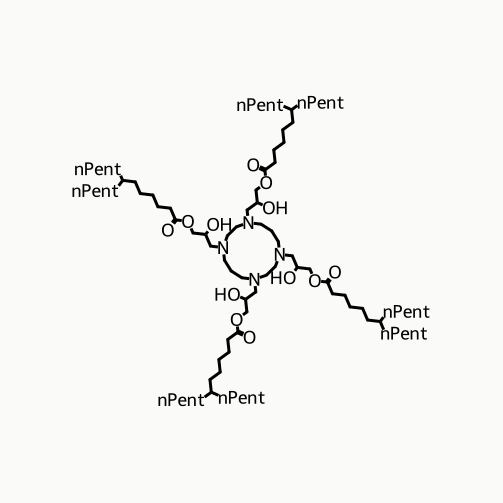 CCCCCC(CCCCC)CCCCCC(=O)OCC(O)CN1CCCN(CC(O)COC(=O)CCCCCC(CCCCC)CCCCC)CCN(CC(O)COC(=O)CCCCCC(CCCCC)CCCCC)CCCN(CC(O)COC(=O)CCCCCC(CCCCC)CCCCC)CC1